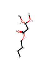 CCCCOC(=O)CC(OC)OC